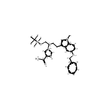 Cn1cc(CC[C@H](CO[Si](C)(C)C(C)(C)C)n2cnc(C(N)=O)c2)c2cc(OCc3ccccc3)ccc21